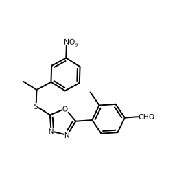 Cc1cc(C=O)ccc1-c1nnc(SC(C)c2cccc([N+](=O)[O-])c2)o1